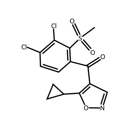 CS(=O)(=O)c1c(C(=O)c2cnoc2C2CC2)ccc(Cl)c1Cl